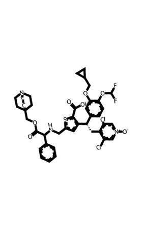 O=C(O)c1sc(CNC(C(=O)OCC23CCN(CC2)CC3)c2ccccc2)cc1[C@@H](Cc1c(Cl)c[n+]([O-])cc1Cl)c1ccc(OC(F)F)c(OCC2CC2)c1